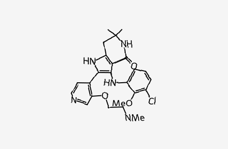 CNCCOc1cnccc1-c1[nH]c2c(c1Nc1cccc(Cl)c1OC)C(=O)NC(C)(C)C2